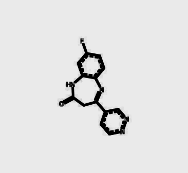 O=C1CC(c2ccnnc2)=Nc2ccc(F)cc2N1